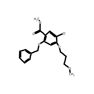 COCCCOc1cc(OCc2ccccc2)c(C(=O)OC)cc1Cl